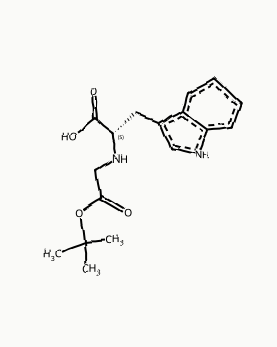 CC(C)(C)OC(=O)CN[C@@H](Cc1c[nH]c2ccccc12)C(=O)O